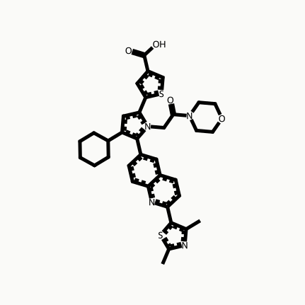 Cc1nc(C)c(-c2ccc3cc(-c4c(C5CCCCC5)cc(-c5cc(C(=O)O)cs5)n4CC(=O)N4CCOCC4)ccc3n2)s1